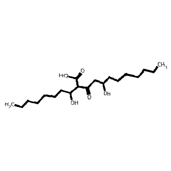 CCCCCCCC(O)CC(=O)C(C(=O)O)C(O)CCCCCCC